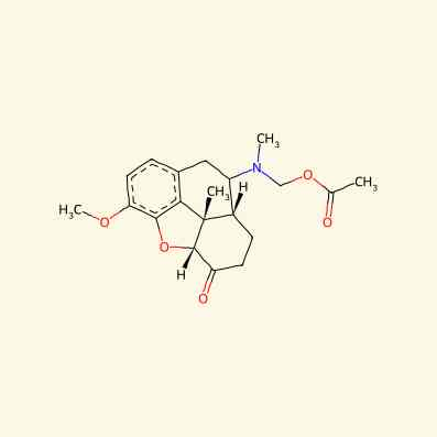 COc1ccc2c3c1O[C@H]1C(=O)CC[C@@H](C(N(C)COC(C)=O)C2)[C@@]31C